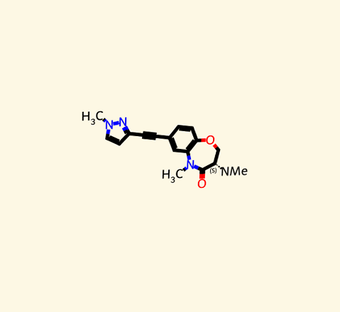 CN[C@H]1COc2ccc(C#Cc3ccn(C)n3)cc2N(C)C1=O